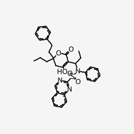 CCCC1(CCc2ccccc2)CC(O)=C(C(CC)N(c2ccccc2)S(=O)(=O)c2ncc3ccccc3n2)C(=O)O1